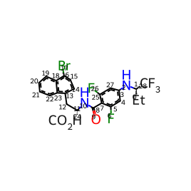 CC[C@@H](Nc1cc(F)c(C(=O)N[C@@H](Cc2ccc(Br)c3ccccc23)C(=O)O)c(F)c1)C(F)(F)F